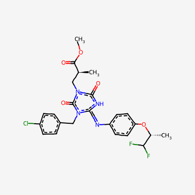 COC(=O)[C@@H](C)Cn1c(=O)[nH]/c(=N\c2ccc(O[C@H](C)C(F)F)cc2)n(Cc2ccc(Cl)cc2)c1=O